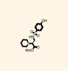 COC(=O)[C@H](CNS(=O)(=O)c1ccc(O)cc1)N1CCCCC1